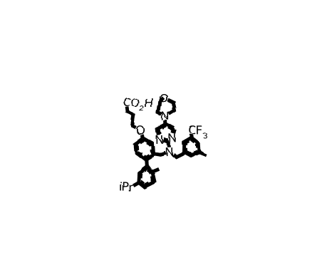 Cc1cc(CN(Cc2cc(OCCCC(=O)O)ccc2-c2cc(C(C)C)ccc2C)c2ncc(N3CCOCC3)cn2)cc(C(F)(F)F)c1